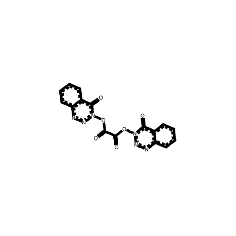 O=C(On1nnc2ccccc2c1=O)C(=O)On1nnc2ccccc2c1=O